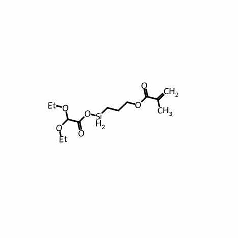 C=C(C)C(=O)OCCC[SiH2]OC(=O)C(OCC)OCC